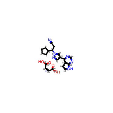 N#CCC(C1CCCC1)n1cc(-c2ncnc3[nH]ccc23)cn1.O=C(O)/C=C\C(=O)O